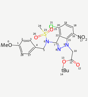 COc1ccc(CN(c2nn(CC(=O)OC(C)(C)C)c3c([N+](=O)[O-])ccc(Cl)c23)S(C)(=O)=O)cc1